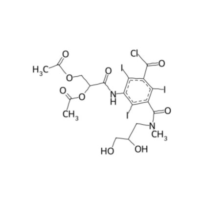 CC(=O)OCC(OC(C)=O)C(=O)Nc1c(I)c(C(=O)Cl)c(I)c(C(=O)N(C)CC(O)CO)c1I